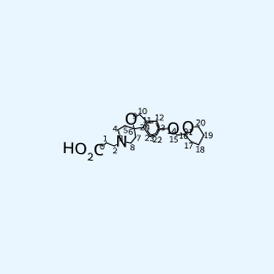 O=C(O)CCN1CCC2(CC1)OCc1cc(OCC3CCCCO3)ccc12